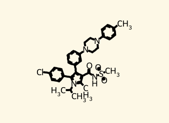 Cc1ccc(N2CCN(c3cccc(-c4c(C(=O)NS(C)(=O)=O)c(C)n(C(C)C)c4-c4ccc(Cl)cc4)c3)CC2)cc1